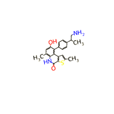 Cc1cc2c(s1)c(=O)[nH]c1c(C)cc(O)c(-c3ccc(C(C)CN)cc3)c12